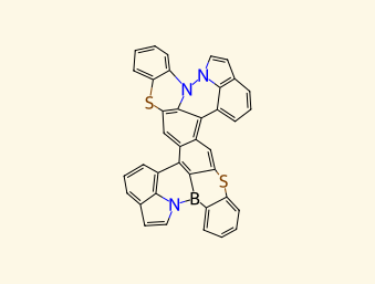 c1ccc2c(c1)Sc1cc3c(cc4sc5ccccc5n5n6ccc7cccc(c3c4-5)c76)c3c1B2n1ccc2cccc-3c21